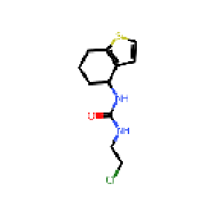 O=C(NCCCl)NC1CCCc2sccc21